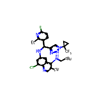 CCc1nc(F)ccc1C(Nc1cc(Cl)c2ncc(C#N)c(NCC(C)(C)C)c2c1)c1cn(C2(C(F)(F)F)CC2)nn1